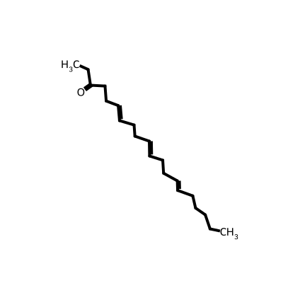 CCCCCC=CCCC=CCCC=CCCC(=O)CC